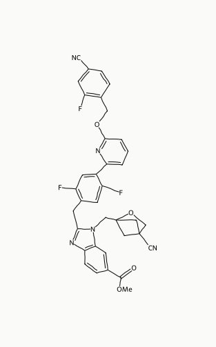 COC(=O)c1ccc2nc(Cc3cc(F)c(-c4cccc(OCc5ccc(C#N)cc5F)n4)cc3F)n(CC34CC(C#N)(CO3)C4)c2c1